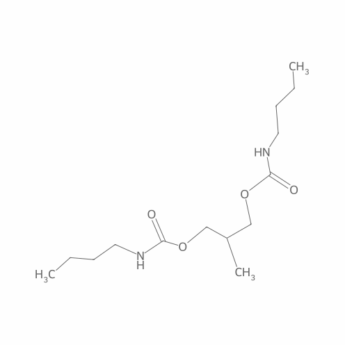 CCCCNC(=O)OCC(C)COC(=O)NCCCC